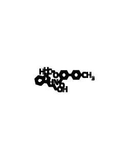 CCOc1ccc(-c2ccc(C)cc2)cc1C(=O)NC(CO)Cc1c[nH]c2ccccc12